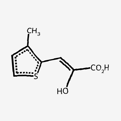 Cc1ccsc1/C=C(\O)C(=O)O